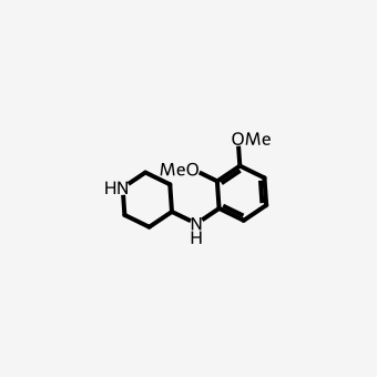 COc1cccc(NC2CCNCC2)c1OC